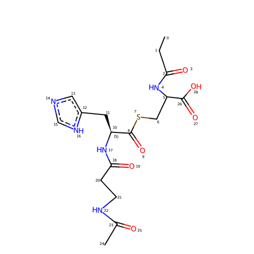 CCC(=O)NC(CSC(=O)[C@H](Cc1cnc[nH]1)NC(=O)CCNC(C)=O)C(=O)O